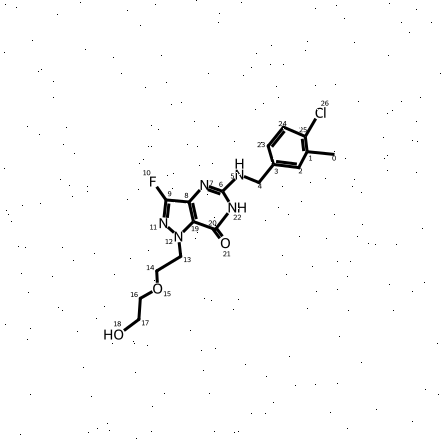 Cc1cc(CNc2nc3c(F)nn(CCOCCO)c3c(=O)[nH]2)ccc1Cl